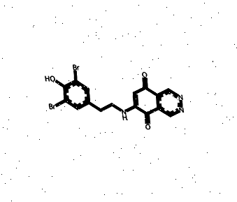 O=C1C=C(NCCc2cc(Br)c(O)c(Br)c2)C(=O)c2cnncc21